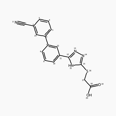 N#Cc1cccc(-c2cccc(-c3nnc(SCC(=O)O)[nH]3)c2)c1